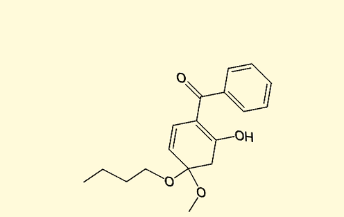 CCCCOC1(OC)C=CC(C(=O)c2ccccc2)=C(O)C1